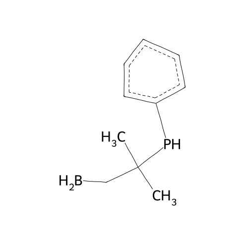 BCC(C)(C)Pc1ccccc1